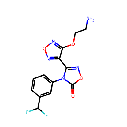 NCCOc1nonc1-c1noc(=O)n1-c1cccc(C(F)F)c1